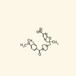 CN(C)c1ccc(C(=O)N2CCN(CC3(C)Cn4cc([N+](=O)[O-])nc4O3)CC2)cc1